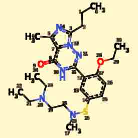 CCCc1nc(C)c2c(=O)[nH]c(-c3cc(SN(C)CCN(CC)CC)ccc3OCC)nn12